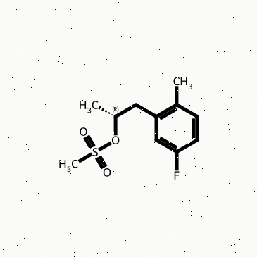 Cc1ccc(F)cc1C[C@@H](C)OS(C)(=O)=O